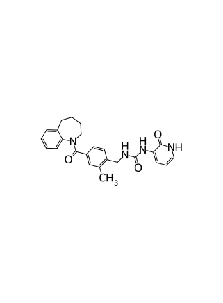 Cc1cc(C(=O)N2CCCCc3ccccc32)ccc1CNC(=O)Nc1ccc[nH]c1=O